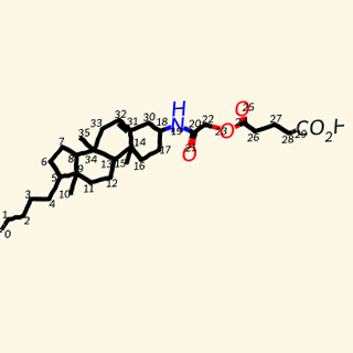 CC(C)CCCCC1CCC2C1(C)CCC1C3(C)CCC(NC(=O)COC(=O)CCCC(=O)O)CC3=CCC12C